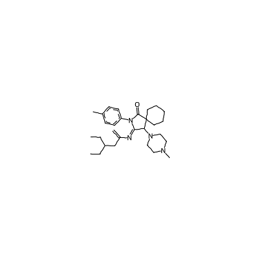 C=C(CC(CC)CC)/N=C1/C(N2CCN(C)CC2)C2(CCCCC2)C(=O)N1c1ccc(C)cc1